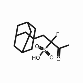 CC(=O)C(F)(CC12CC3CC(CC(C3)C1)C2)S(=O)(=O)O